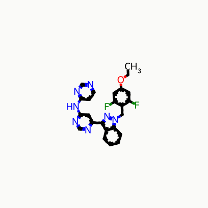 CCOc1cc(F)c(Cn2nc(-c3cc(Nc4ccncn4)ncn3)c3ccccc32)c(F)c1